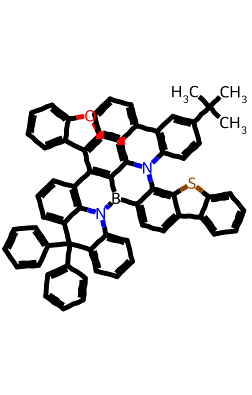 CC(C)(C)c1ccc(N2c3cc4oc5ccccc5c4c4c3B(c3ccc5c(sc6ccccc65)c32)N2c3ccccc3C(c3ccccc3)(c3ccccc3)c3cccc-4c32)c(-c2ccccc2)c1